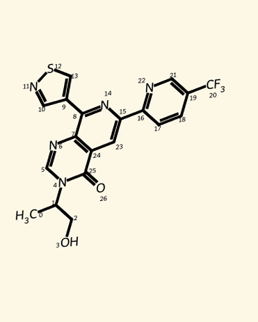 CC(CO)n1cnc2c(-c3cnsc3)nc(-c3ccc(C(F)(F)F)cn3)cc2c1=O